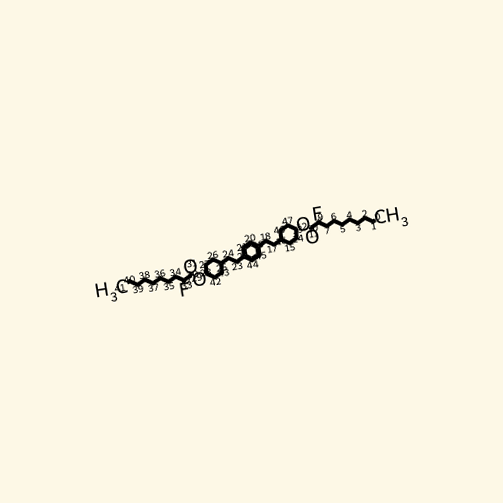 CCCCCCCCC(F)C(=O)OC1CCC(CCc2ccc(CCC3CCC(OC(=O)C(F)CCCCCCCC)CC3)cc2)CC1